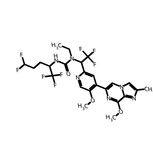 CCN(C(=O)NC(CCC(F)F)C(F)(F)F)C(c1cc(-c2cn3cc(C)nc3c(OC)n2)c(OC)cn1)C(F)(F)F